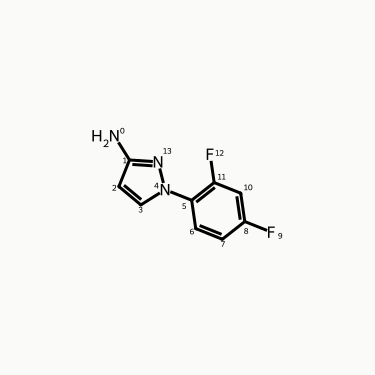 Nc1ccn(-c2ccc(F)cc2F)n1